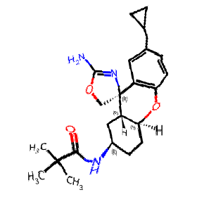 CC(C)(C)C(=O)N[C@@H]1CC[C@@H]2Oc3ccc(C4CC4)cc3[C@@]3(COC(N)=N3)[C@H]2C1